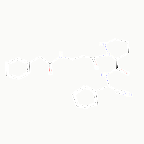 N#CC(NC(=O)[C@@H]1CCCNN1C(=O)CCNC(=O)Cc1ccccc1)c1ccccc1